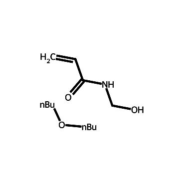 C=CC(=O)NCO.CCCCOCCCC